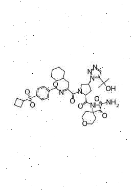 CC(C)(O)c1cnnn1[C@H]1C[C@@H](C(=O)NC2(C(=O)C(N)=O)CCOCC2)N(C(=O)/C(CC2CCCCC2)=N/C(=O)c2ccc(S(=O)(=O)C3CCC3)cc2)C1